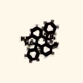 Bc1cccc2c1C(C)(c1ccccc1)c1cccc(Br)c1C2(C)c1ccccc1